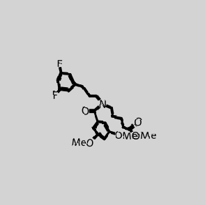 COC(=O)CCCCN(CCCc1cc(F)cc(F)c1)C(=O)c1cc(OC)cc(OC)c1